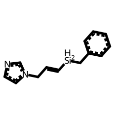 C(=C[SiH2]Cc1ccccc1)Cn1ccnc1